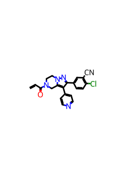 C=CC(=O)N1CCn2nc(-c3ccc(Cl)c(C#N)c3)c(-c3ccncc3)c2C1